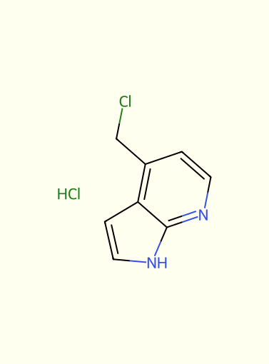 Cl.ClCc1ccnc2[nH]ccc12